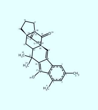 Cc1cc(C)c2c(c1)C1=C[C@@]34NC(=O)[C@]5(CCCN5C3=O)CC4C(C)(C)C1=[N+]2[O-]